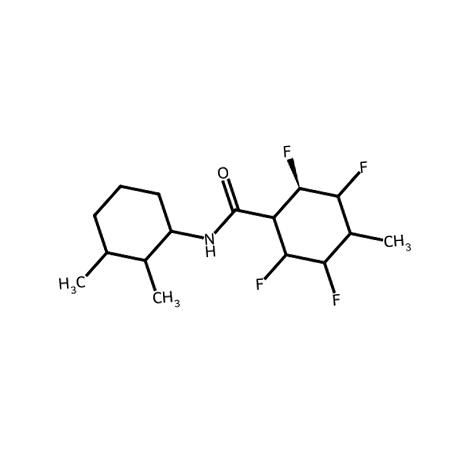 CC1CCCC(NC(=O)C2C(F)C(F)C(C)C(F)[C@@H]2F)C1C